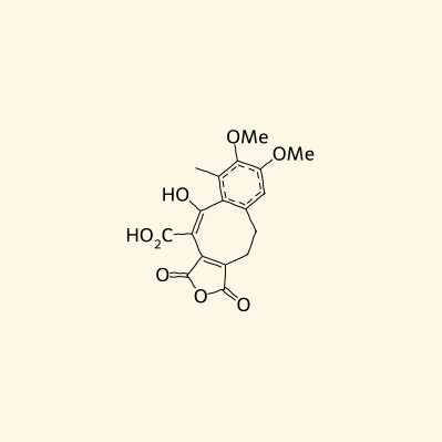 COc1cc2c(c(C)c1OC)C(O)=C(C(=O)O)C1=C(CC2)C(=O)OC1=O